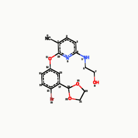 N#Cc1ccc(NCCO)nc1Oc1ccc(Br)c(C2OCCO2)c1